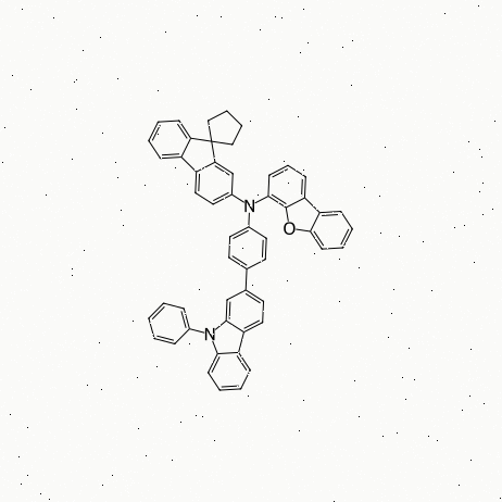 c1ccc(-n2c3ccccc3c3ccc(-c4ccc(N(c5ccc6c(c5)C5(CCCC5)c5ccccc5-6)c5cccc6c5oc5ccccc56)cc4)cc32)cc1